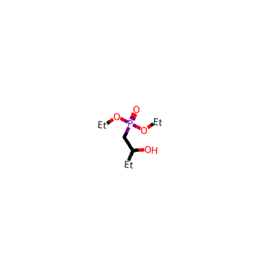 CCOP(=O)(CC(O)CC)OCC